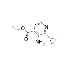 CCOC(=O)c1ccnc(C2CC2)c1N